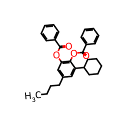 CCCCc1cc(OC(=O)c2ccccc2)c(OC(=O)c2ccccc2)c(C2CCCCC2)c1